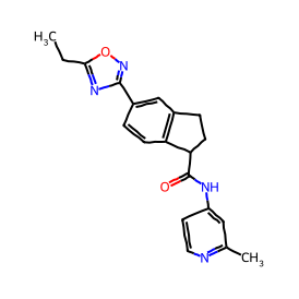 CCc1nc(-c2ccc3c(c2)CCC3C(=O)Nc2ccnc(C)c2)no1